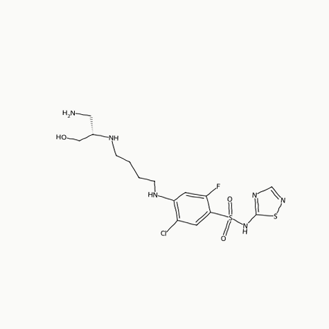 NC[C@@H](CO)NCCCCNc1cc(F)c(S(=O)(=O)Nc2ncns2)cc1Cl